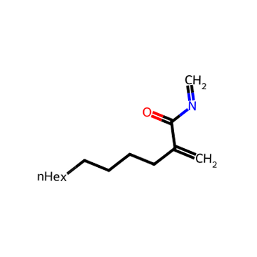 C=NC(=O)C(=C)CCCCCCCCCC